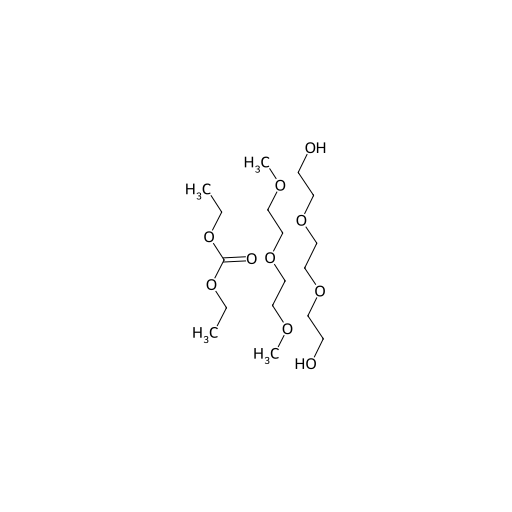 CCOC(=O)OCC.COCCOCCOC.OCCOCCOCCO